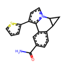 NC(=O)c1ccc2c(c1)-c1c(-c3cccs3)ccn1C1CC21